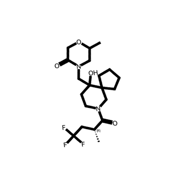 CC1CN(CC2(O)CCN(C(=O)[C@H](C)CC(F)(F)F)CC23CCCC3)C(=O)CO1